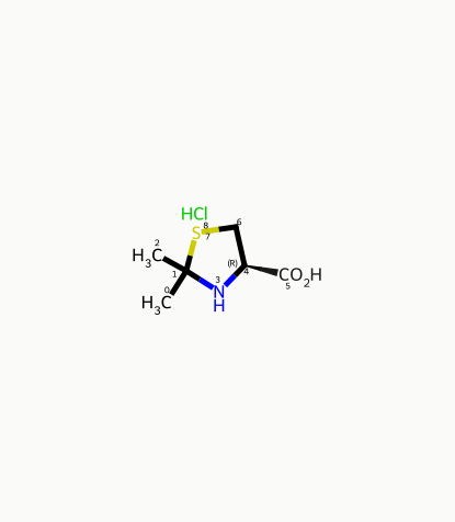 CC1(C)N[C@H](C(=O)O)CS1.Cl